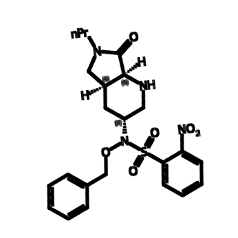 CCCN1C[C@@H]2C[C@@H](N(OCc3ccccc3)S(=O)(=O)c3ccccc3[N+](=O)[O-])CN[C@@H]2C1=O